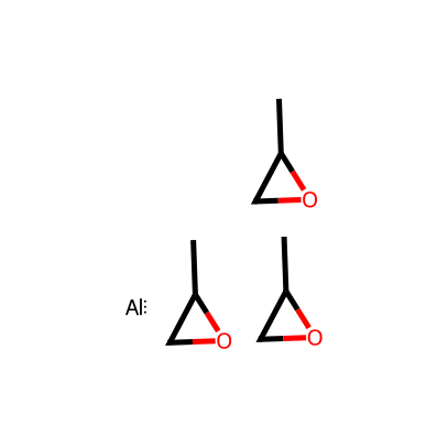 CC1CO1.CC1CO1.CC1CO1.[Al]